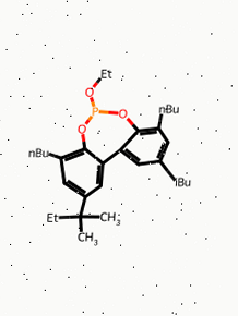 CCCCc1cc(C(C)CC)cc2c1op(OCC)oc1c(CCCC)cc(C(C)(C)CC)cc12